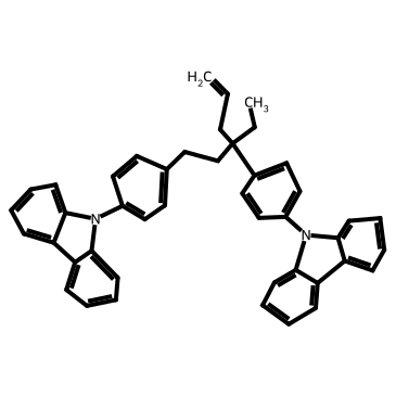 C=CCC(CC)(CCc1ccc(-n2c3ccccc3c3ccccc32)cc1)c1ccc(-n2c3ccccc3c3ccccc32)cc1